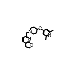 Cc1cc(OC2CCN(Cc3ccc4c(n3)OCC4)CC2)cc(C)n1